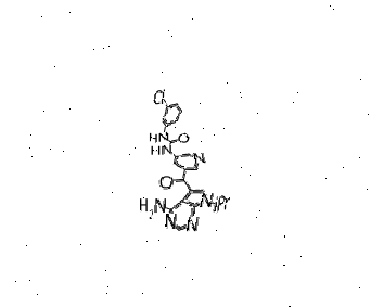 CC(C)n1cc(C(=O)c2cncc(NC(=O)Nc3cccc(Cl)c3)c2)c2c(N)ncnc21